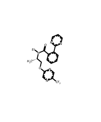 CCN(C(=O)c1ccccc1-c1ncccn1)[C@@H](C)COc1cnc(C(F)(F)F)cn1